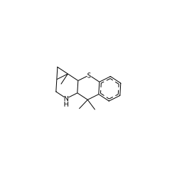 CC1(C)c2ccccc2SC2C1NCC1CC12C